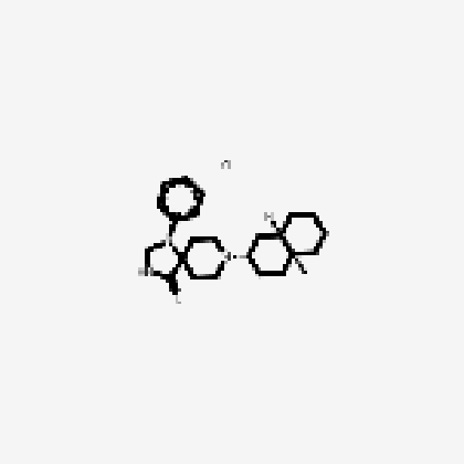 C[C@]12CCCC[C@H]1C[C@@H](N1CCC3(CC1)C(=O)NCN3c1ccccc1)CC2.Cl